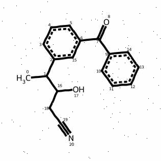 CC(c1cccc(C(=O)c2ccccc2)c1)C(O)CC#N